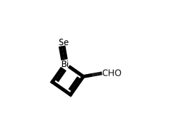 O=C[C]1=C[CH]=[Bi]1=[Se]